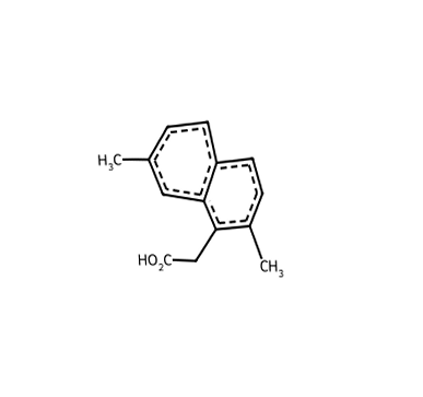 Cc1ccc2ccc(C)c(CC(=O)O)c2c1